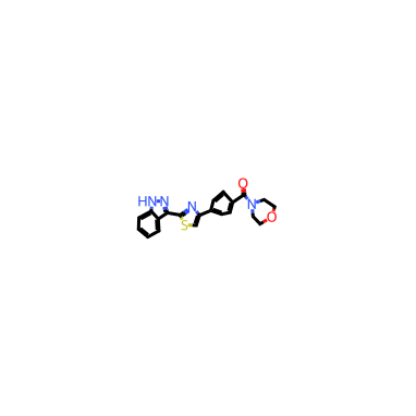 O=C(c1ccc(-c2csc(-c3n[nH]c4ccccc34)n2)cc1)N1CCOCC1